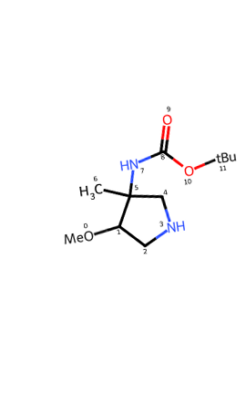 COC1CNCC1(C)NC(=O)OC(C)(C)C